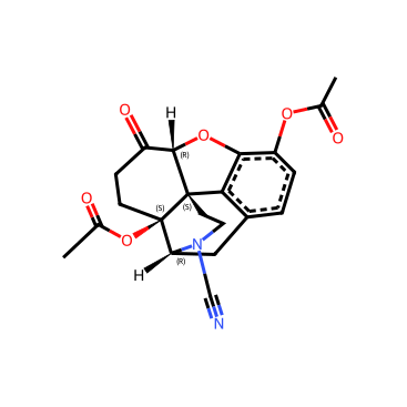 CC(=O)Oc1ccc2c3c1O[C@H]1C(=O)CC[C@@]4(OC(C)=O)[C@@H](C2)N(C#N)CC[C@]314